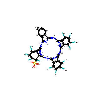 O=S(=O)(O)C1(F)C(F)=C(F)C(F)=c2c1c1[nH]\c2=N/C2=N\C(=N/c3[nH]c(c4c(F)c(F)c(F)c(F)c34)/N=C3\N=C(N1)c1c(F)c(F)c(F)c(F)c13)c1ccccc12.[Zn]